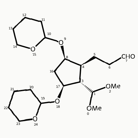 COC(OC)[C@H]1[C@H](CCC=O)[C@H](OC2CCCCO2)C[C@@H]1OC1CCCCO1